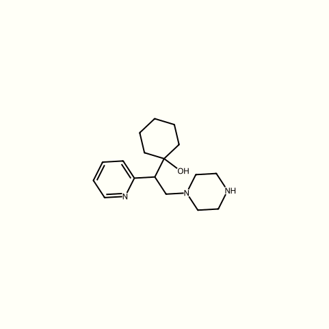 OC1(C(CN2CCNCC2)c2ccccn2)CCCCC1